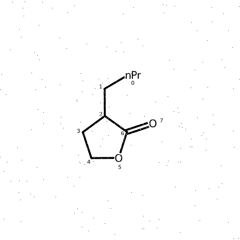 [CH2]CCCC1CCOC1=O